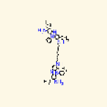 Cc1cc2nc3cc(C)c(NCCCCCCCCCNc4ccc5nc6cc(C)c(N)cc6[n+](-c6ccccc6)c5c4C)cc3[n+](-c3ccccc3)c2cc1N